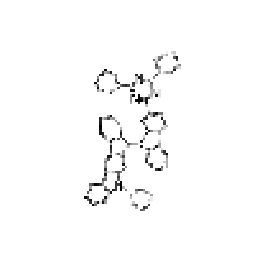 c1ccc(-c2nc(-c3ccccc3)nc(-c3ccc4c(c3)C(C3c5ccccc5-c5cc6c7ccccc7n(-c7ccccc7)c6cc53)c3ccccc3-4)n2)cc1